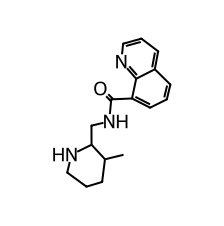 CC1CCCNC1CNC(=O)c1cccc2cccnc12